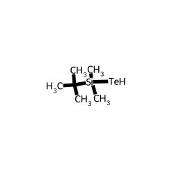 CC(C)(C)[Si](C)(C)[TeH]